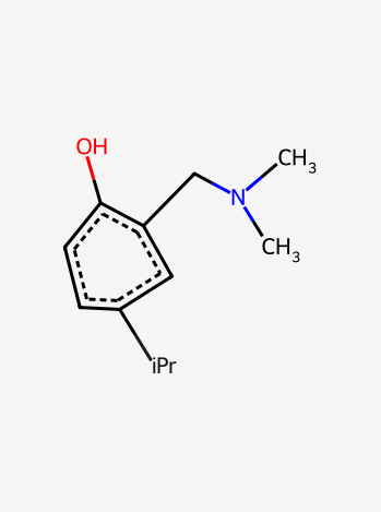 CC(C)c1ccc(O)c(CN(C)C)c1